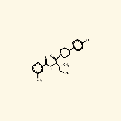 CC[C@@H](C)[C@@H](NC(=O)c1cccc(C)c1)C(=O)N1CCC(c2ccc(Cl)cc2)CC1